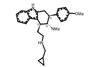 CN[C@H]1[C@H](c2ccc(OC)cc2)Cc2[nH]c3ccccc3c2[C@@H]1CCNCC1CC1